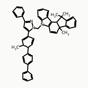 CC1C=C(c2cc(-c3ccccc3)nn2Cn2c3c(c4ccccc42)C2C(C)(C)c4ccccc4C2(C)C=C3)C=CC1c1ccc(-c2ccccc2)cc1